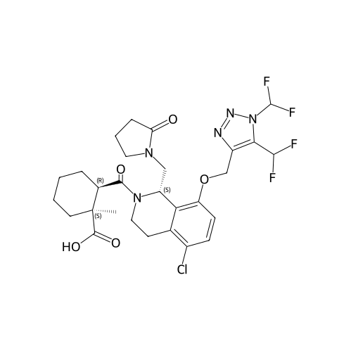 C[C@]1(C(=O)O)CCCC[C@H]1C(=O)N1CCc2c(Cl)ccc(OCc3nnn(C(F)F)c3C(F)F)c2[C@H]1CN1CCCC1=O